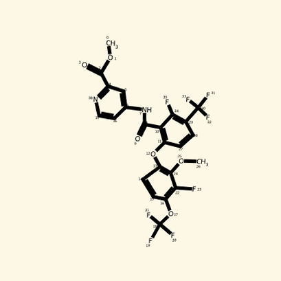 COC(=O)c1cc(NC(=O)c2c(Oc3ccc(OC(F)(F)F)c(F)c3OC)ccc(C(F)(F)F)c2F)ccn1